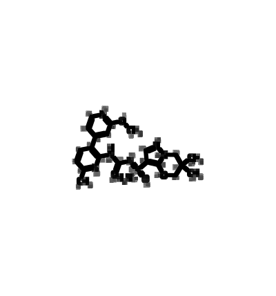 COc1cc(-c2ccc(C)nc2NC(=O)N=[S@](N)(=O)c2cnn3c2OCC(C)(C)C3)ccn1